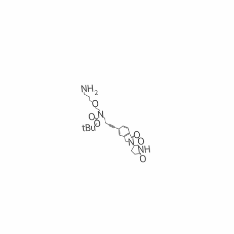 CC(C)(C)OC(=O)N(CCC#Cc1ccc2c(c1)CN(C1CCC(=O)NC1=O)C2=O)CCOCCCN